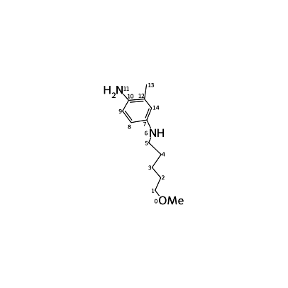 COCCCCCNc1ccc(N)c(C)c1